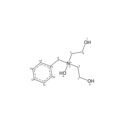 OCC[N+](O)(CCO)Cc1ccccc1